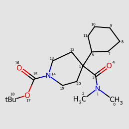 CN(C)C(=O)C1(C2CCCCC2)CCN(C(=O)OC(C)(C)C)CC1